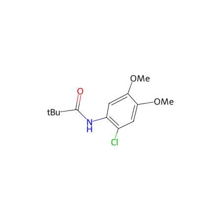 COc1cc(Cl)c(NC(=O)C(C)(C)C)cc1OC